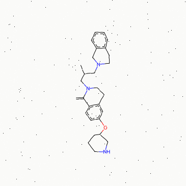 C=C1c2ccc(OC3CCCNC3)cc2CCN1CC(C)CN1CCc2ccccc2C1